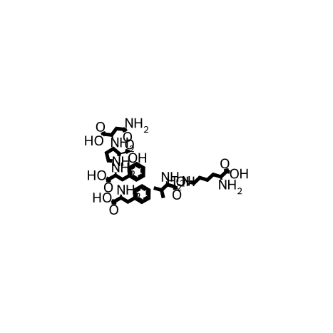 CC(C)[C@H](N)C(=O)O.NC(=O)C[C@H](N)C(=O)O.NCCCC[C@H](N)C(=O)O.N[C@@H](Cc1ccccc1)C(=O)O.N[C@@H](Cc1ccccc1)C(=O)O.O=C(O)[C@@H]1CCCN1